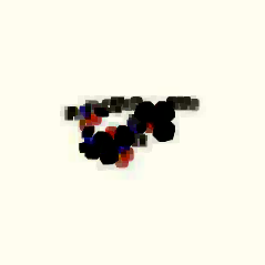 CCc1cc2c(cc1N(CCOC(c1ccccc1)(c1ccc(OC)cc1)c1ccc(OC)cc1)C(C)CC)Oc1cc3c(cc1C21c2ccccc2S(=O)(=O)N1C)C(C)(C)C(C)N3CCOP(OCCC#N)N(C(C)C)C(C)C